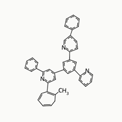 CC1=C(c2cc(-c3cc(-c4ccccn4)cc(-c4ccc(-c5ccccc5)cn4)c3)cc(-c3ccccc3)n2)C=CC=CC1